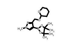 Cn1cc(B2OC(C)(C)C(C)(C)O2)c(COC2CCCCO2)n1